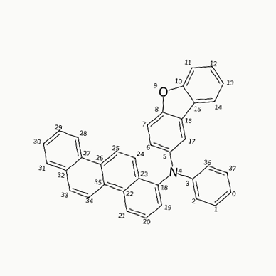 c1ccc(N(c2ccc3oc4ccccc4c3c2)c2cccc3c2ccc2c4ccccc4ccc32)cc1